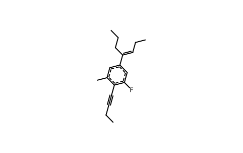 CCC#Cc1c(C)cc(/C(=C/CC)CCC)cc1F